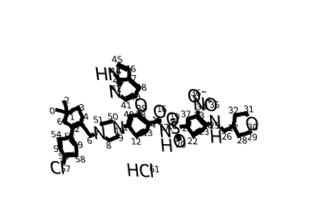 CC1(C)CCC(CN2CCN(c3ccc(C(=O)NS(=O)(=O)c4ccc(NCC5CCOCC5)c([N+](=O)[O-])c4)c(Oc4cnc5[nH]ccc5c4)c3)CC2)=C(c2ccc(Cl)cc2)C1.Cl